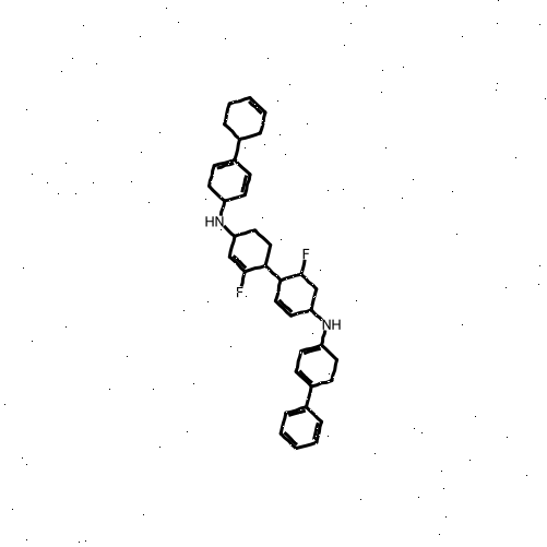 FC1=CC(NC2C=CC(C3CC=CCC3)=CC2)CCC1C1C=CC(NC2=CC=C(c3ccccc3)CC2)CC1F